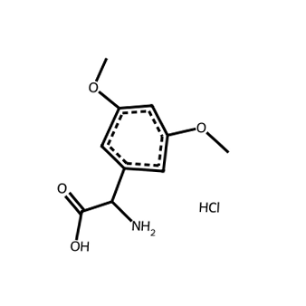 COc1cc(OC)cc(C(N)C(=O)O)c1.Cl